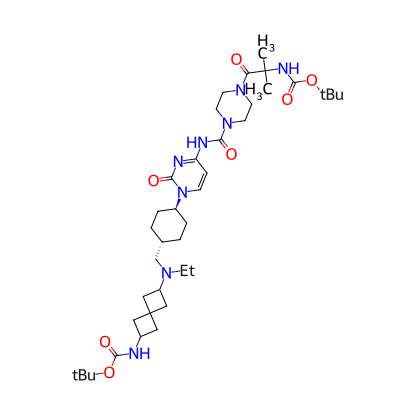 CCN(C[C@H]1CC[C@H](n2ccc(NC(=O)N3CCN(C(=O)C(C)(C)NC(=O)OC(C)(C)C)CC3)nc2=O)CC1)C1CC2(CC(NC(=O)OC(C)(C)C)C2)C1